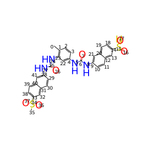 Cc1ccc(NC(=O)Nc2ccc3cc([SH](=O)=O)ccc3c2)cc1NC(=O)Nc1ccc2cc(S(C)(=O)=O)ccc2c1